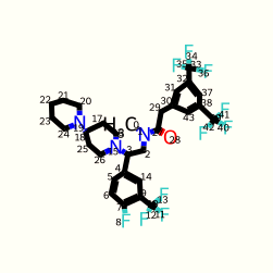 CN(CC(c1ccc(F)c(C(F)(F)F)c1)N1CCC(N2CCCCC2)CC1)C(=O)Cc1cc(C(F)(F)F)cc(C(F)(F)F)c1